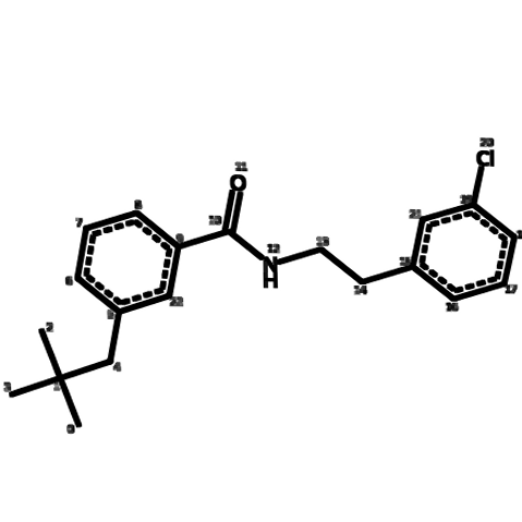 CC(C)(C)Cc1cccc(C(=O)NCCc2cccc(Cl)c2)c1